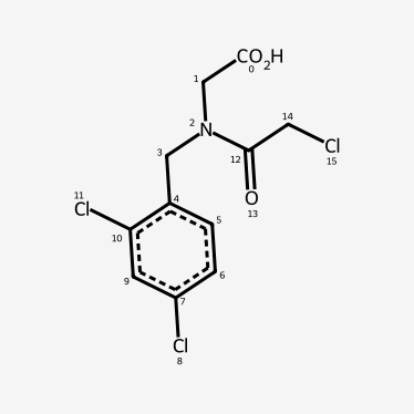 O=C(O)CN(Cc1ccc(Cl)cc1Cl)C(=O)CCl